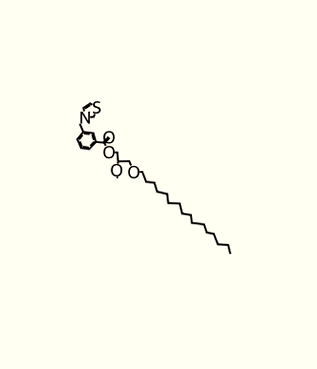 CCCCCCCCCCCCCCCCOCC(COC(=O)c1cccc(CN2C=CSC2)c1)OC